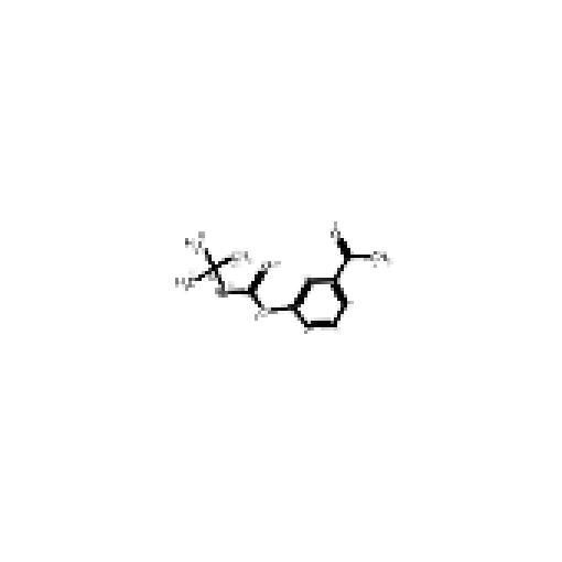 CC(=O)c1cccc(OC(=O)NC(C)(C)C)c1